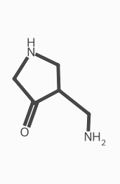 NCC1CNCC1=O